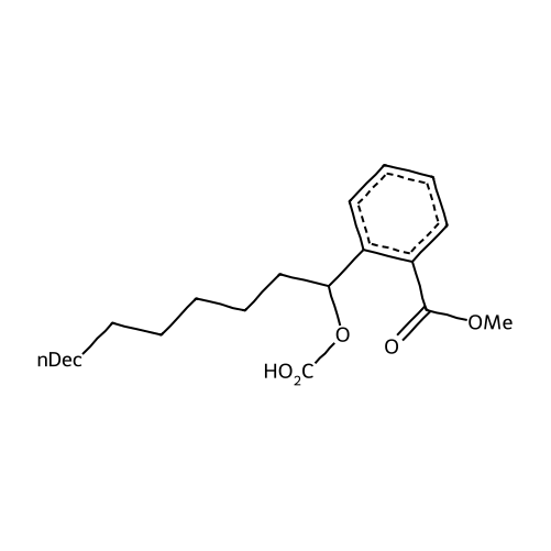 CCCCCCCCCCCCCCCC(OC(=O)O)c1ccccc1C(=O)OC